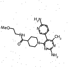 COCCNC(=O)C1CCN(c2nc(N)nc(C)c2-c2ccc(N)nc2)CC1